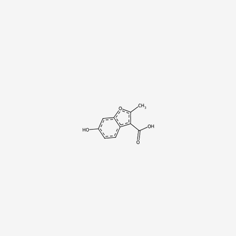 Cc1oc2cc(O)ccc2c1C(=O)O